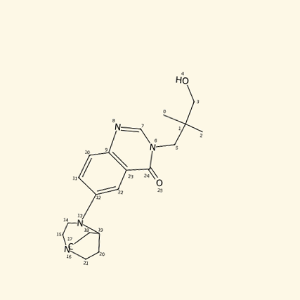 CC(C)(CO)Cn1cnc2ccc(N3CCN4CCC3CC4)cc2c1=O